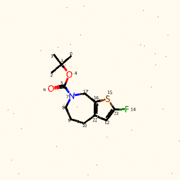 CC(C)(C)OC(=O)N1CCCc2cc(F)sc2C1